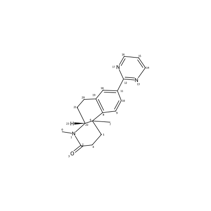 CN1C(=O)CCC2(C)c3ccc(-c4ncccn4)cc3CC[C@@H]12